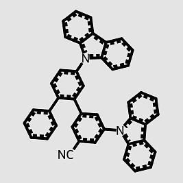 N#Cc1cc(-c2cc(-n3c4ccccc4c4ccccc43)ccc2-c2ccccc2)cc(-n2c3ccccc3c3ccccc32)c1